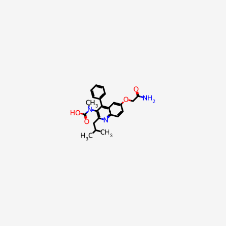 CC(C)Cc1nc2ccc(OCC(N)=O)cc2c(-c2ccccc2)c1N(C)C(=O)O